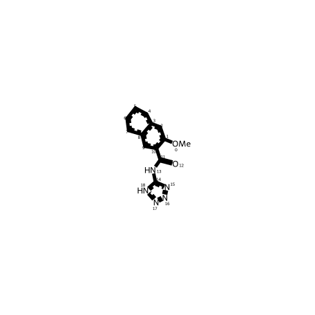 COc1cc2ccccc2cc1C(=O)Nc1nnn[nH]1